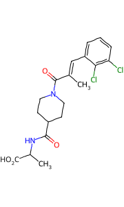 CC(=Cc1cccc(Cl)c1Cl)C(=O)N1CCC(C(=O)NC(C)C(=O)O)CC1